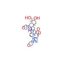 C[C@]12CC[C@@H](O)[C@@](C)(CO)C1CC(N1CCOCC1)C1(CO1)C2CC(Nc1ccccn1)C1=C/C(=C\c2cnc(N3CCOCC3)nc2)OC1=O